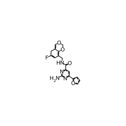 Nc1nc(C(=O)NCC2=C3OCOC=C3CC(F)=C2)cc(-c2ccco2)n1